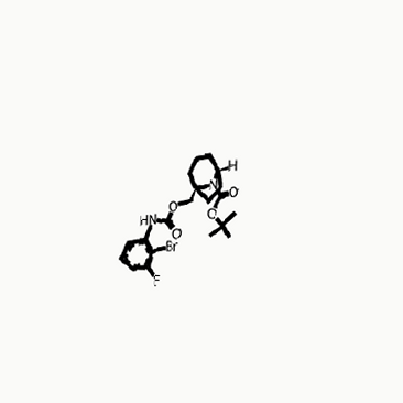 CC(C)(C)OC(=O)N1[C@@H]2CCC[C@@]1(COC(=O)Nc1cccc(F)c1Br)CC2